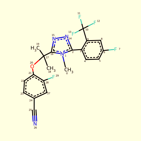 Cn1c(-c2ccc(F)cc2C(F)(F)F)nnc1C(C)(C)Oc1ccc(C#N)cc1F